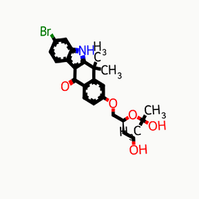 CC(C)(O)O[C@@H](CCO)COc1ccc2c(c1)C(C)(C)c1[nH]c3cc(Br)ccc3c1C2=O